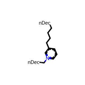 CCCCCCCCCCCCCCc1ccc[n+](CCCCCCCCCCC)c1